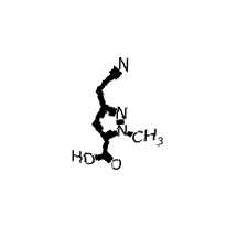 Cn1nc(CC#N)cc1C(=O)O